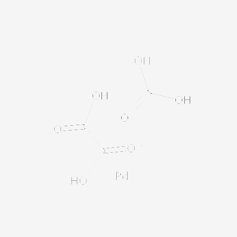 O=C(O)C(=O)O.O=C(O)O.[Pd]